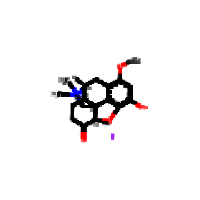 CCCCOc1cc(O)c2c3c1C[C@@H]1[C@@H]4CCC(=O)[C@H](O2)[C@]34CC[N+]1(C)C.[I-]